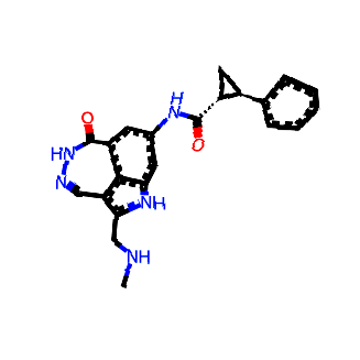 CNCc1[nH]c2cc(NC(=O)[C@@H]3C[C@H]3c3ccccc3)cc3c2c1C=NNC3=O